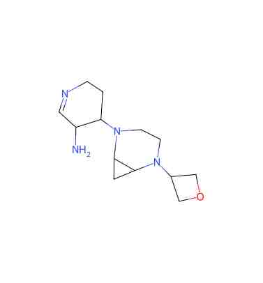 NC1C=NCCC1N1CCN(C2COC2)C2CC21